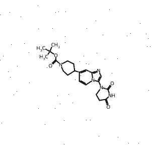 CC(C)(C)OC(=O)N1CCC(c2ccn3c(N4CCC(=O)NC4=O)cnc3c2)CC1